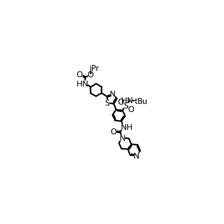 CC(C)OC(=O)NC1CCC(c2ncc(-c3ccc(NC(=O)N4CCc5cnccc5C4)cc3S(=O)(=O)NC(C)(C)C)s2)CC1